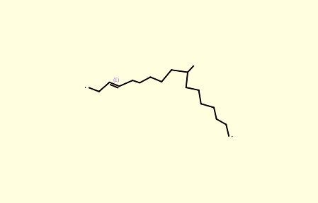 [CH2]C/C=C/CCCCCC(C)CCCCCC[CH2]